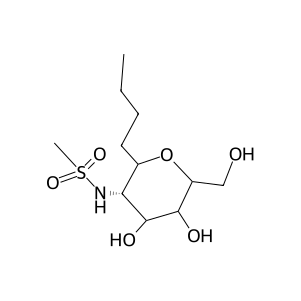 CCCCC1OC(CO)C(O)C(O)[C@@H]1NS(C)(=O)=O